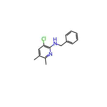 Cc1cc(Cl)c(NCc2ccccc2)nc1C